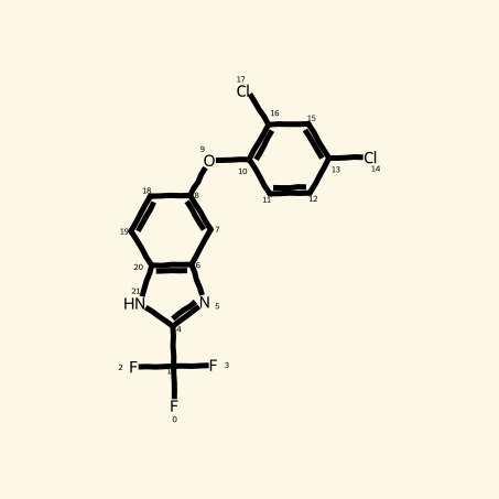 FC(F)(F)c1nc2cc(Oc3ccc(Cl)cc3Cl)ccc2[nH]1